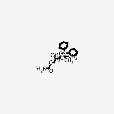 CC(C)(C)[Si](OCC(O)COC(N)=O)(c1ccccc1)c1ccccc1